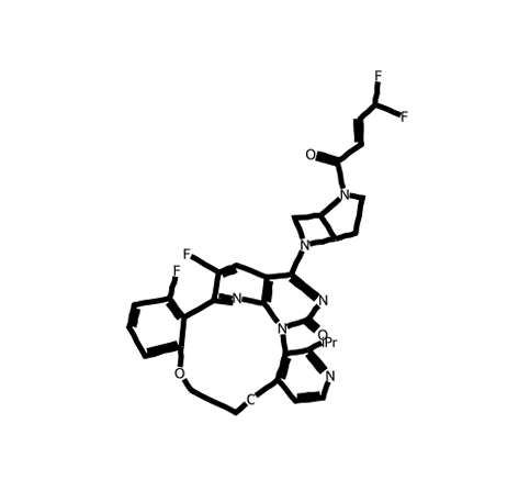 CC(C)c1nccc2c1-n1c(=O)nc(N3CC4C3CCN4C(=O)/C=C/C(F)F)c3cc(F)c(nc31)-c1c(F)cccc1OCCC2